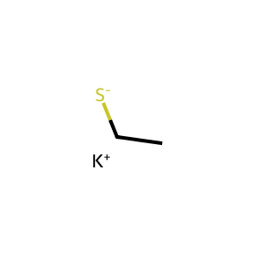 CC[S-].[K+]